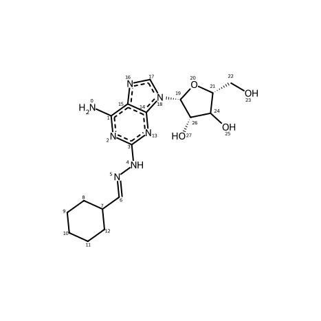 Nc1nc(N/N=C/C2CCCCC2)nc2c1ncn2[C@@H]1O[C@H](CO)C(O)[C@@H]1O